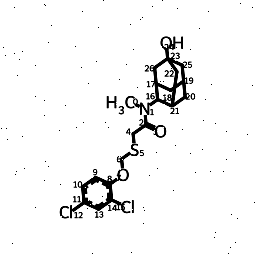 CN(C(=O)CSCOc1ccc(Cl)cc1Cl)C1C2CC3CC1CC(O)(C3)C2